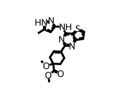 COC(=O)C1(OC)CC=C(c2nc(Nc3cc(C)[nH]n3)c3sccc3n2)CC1